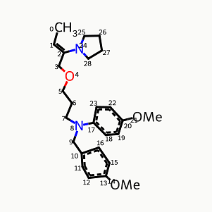 CC=C(COCCCN(Cc1ccc(OC)cc1)c1ccc(OC)cc1)N1CCCC1